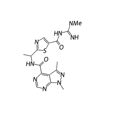 CNC(=N)NC(=O)c1cnc(C(C)NC(=O)c2ncnc3c2c(C)nn3C)s1